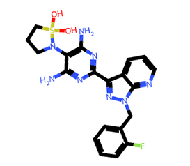 Nc1nc(-c2nn(Cc3ccccc3F)c3ncccc23)nc(N)c1N1CCCS1(O)O